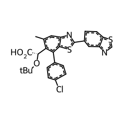 Cc1cc2nc(-c3ccc4scnc4c3)sc2c(-c2ccc(Cl)cc2)c1[C@H](OC(C)(C)C)C(=O)O